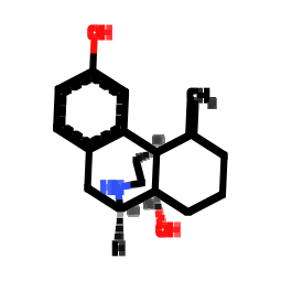 C=C1CCC[C@@]2(O)[C@H]3Cc4ccc(O)cc4[C@@]12CCN3